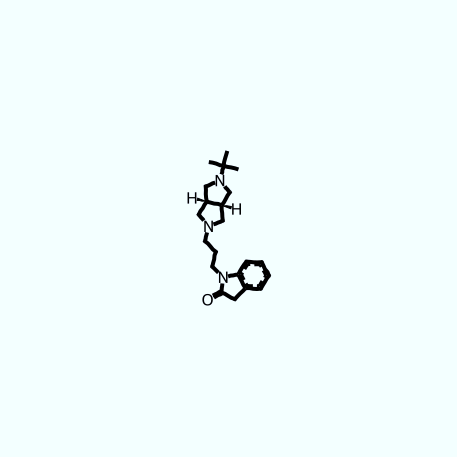 CC(C)(C)N1C[C@H]2CN(CCCN3C(=O)Cc4ccccc43)C[C@H]2C1